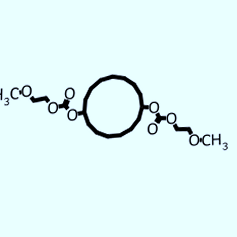 COCCOC(=O)OC1CCCCCCCC(OC(=O)OCCOC)CCCCCC1